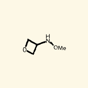 CONC1COC1